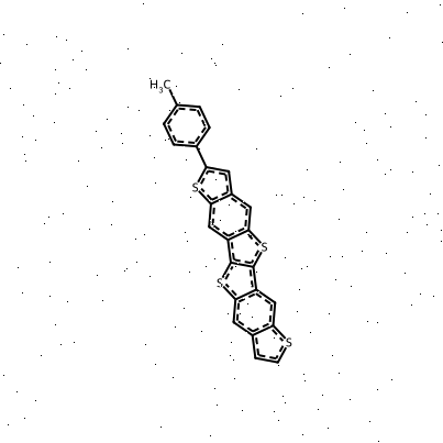 Cc1ccc(-c2cc3cc4sc5c6cc7sccc7cc6sc5c4cc3s2)cc1